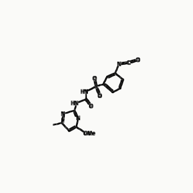 COc1cc(C)nc(NC(=O)NS(=O)(=O)c2cccc(N=C=O)c2)n1